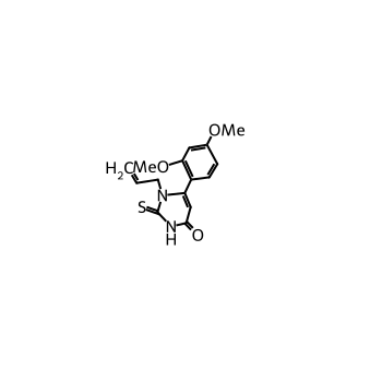 C=CCn1c(-c2ccc(OC)cc2OC)cc(=O)[nH]c1=S